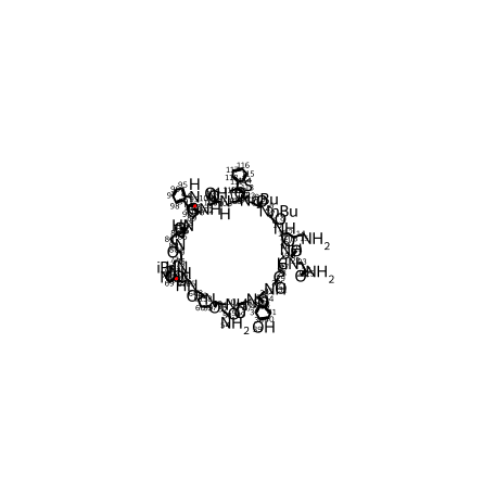 CCCC[C@H]1C(=O)N(C)[C@@H](CCCC)C(=O)NC(CCCN)C(=O)N[C@H](C(=O)NCC(N)=O)CSCC(=O)N[C@@H](Cc2ccc(O)cc2)C(=O)N(C)[C@@H](C)C(=O)N[C@@H](CC(N)=O)C(=O)N2CCCC2C(=O)N[C@@H](Cc2cnc[nH]2)C(=O)N[C@@H](CC(C)C)C(=O)N2CCC[C@H]2C(=O)N[C@@H](Cc2c[nH]c3ccccc23)C(=O)N[C@@H](CO)C(=O)N[C@@H](Cc2csc3ccccc23)C(=O)N1C